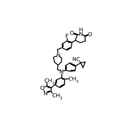 Cc1ccc(-c2c(C)noc2C)cc1N(CC1CCN(Cc2ccc(C3CCC(=O)NC3=O)c(F)c2)CC1)c1ccc(C2(C#N)CC2)cc1